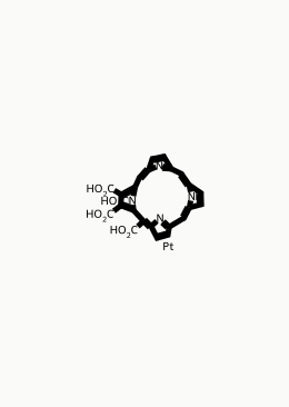 O=C(O)c1c(C(=O)O)c2c(C(=O)O)c3nc(cc4ccc(cc5nc(cc1n2C(=O)O)C=C5)[nH]4)C=C3.[Pt]